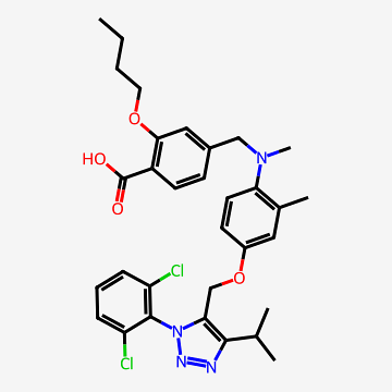 CCCCOc1cc(CN(C)c2ccc(OCc3c(C(C)C)nnn3-c3c(Cl)cccc3Cl)cc2C)ccc1C(=O)O